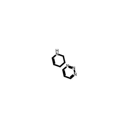 C1=CNCCC1.c1cnnnc1